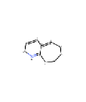 [CH]1C=CC2=CCCCCC2=N1